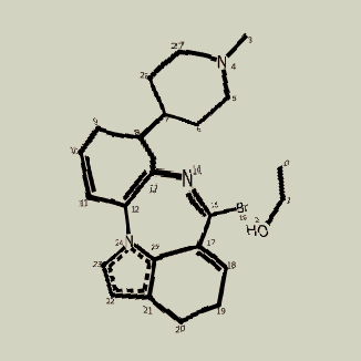 CCO.CN1CCC(C2CC=CC3=C2N=C(Br)C2=CCCc4ccn3c42)CC1